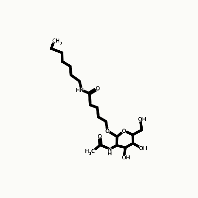 CCCCCCCNC(=O)CCCCOC1OC(CO)C(O)C(O)C1NC(C)=O